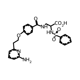 Nc1cccc(CCOc2ccc(C(=O)NCC(NS(=O)(=O)c3ccccc3)C(=O)O)cc2)n1